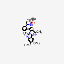 COc1cc2nc(C)nc(NC(C)c3cc(-c4ccccc4C(CC(=O)O)NC(=O)OC(C)(C)C)cs3)c2cc1OC